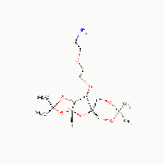 CC1(C)OCC2(CO1)O[C@@H]1OC(C)(C)OC1C2OCCOCCN